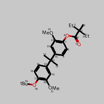 CCC(C)(CC)C(=O)Oc1ccc(C(C)(C)c2ccc(OC(C)(C)C)c(OC)c2)cc1OC